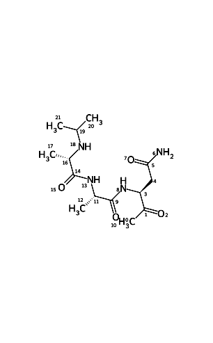 CC(=O)[C@H](CC(N)=O)NC(=O)[C@H](C)NC(=O)[C@H](C)NC(C)C